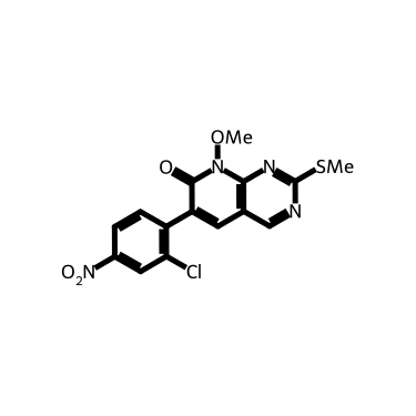 COn1c(=O)c(-c2ccc([N+](=O)[O-])cc2Cl)cc2cnc(SC)nc21